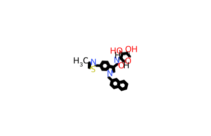 Cc1csc(-c2ccc3c(C4=N[C@H]5[C@H](OC[C@@H](O)[C@@H]5O)O4)cn(Cc4ccc5ccccc5c4)c3c2)n1